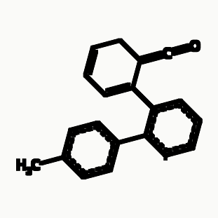 Cc1ccc(-c2[c]cccc2C2=CC=CCC2=C=O)cc1